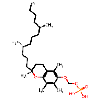 Cc1c(C)c2c(c(C)c1OCOP(=O)(O)O)CC[C@@](C)(CCC[C@H](C)CCC[C@H](C)CCCC(C)C)O2